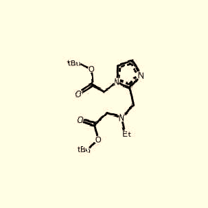 CCN(CC(=O)OC(C)(C)C)Cc1nccn1CC(=O)OC(C)(C)C